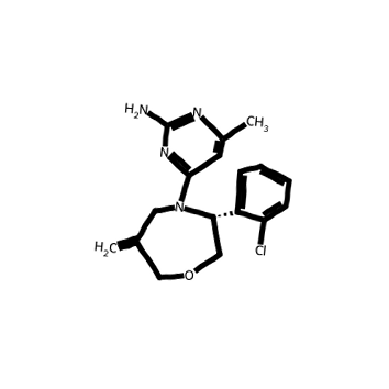 C=C1COC[C@@H](c2ccccc2Cl)N(c2cc(C)nc(N)n2)C1